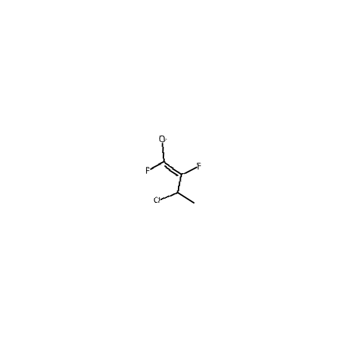 CC(Cl)C(F)=C([O])F